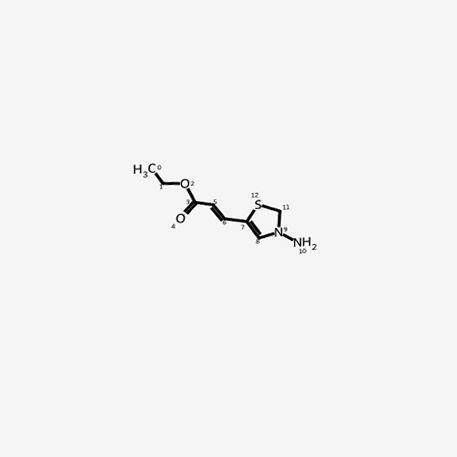 CCOC(=O)C=CC1=CN(N)CS1